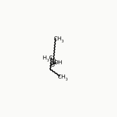 CCCCCCCC/C=C\CCC(CCCCC)OC(CO)COCCCCCCCCCCCCCCCC